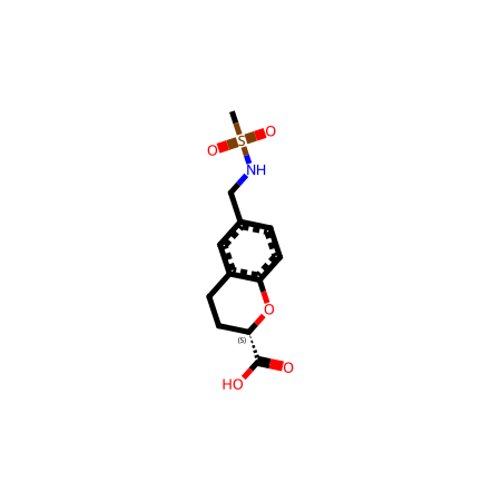 CS(=O)(=O)NCc1ccc2c(c1)CC[C@@H](C(=O)O)O2